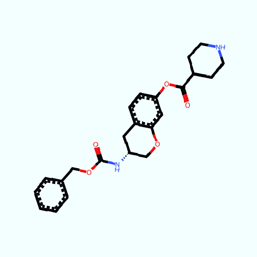 O=C(N[C@H]1COc2cc(OC(=O)C3CCNCC3)ccc2C1)OCc1ccccc1